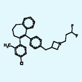 Cc1cc(Cl)ccc1C1=C(c2ccc(CC3CN(CCC(F)F)C3)cc2)c2ccccc2CCC1